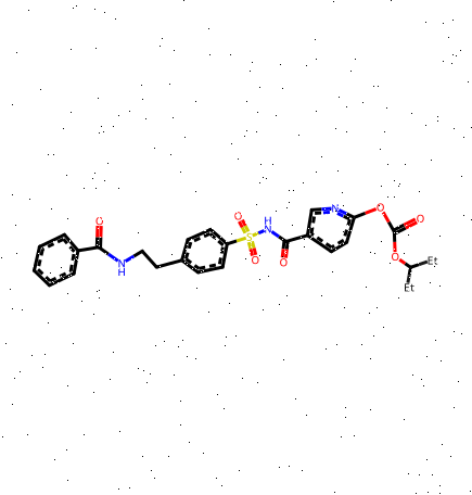 CCC(CC)OC(=O)Oc1ccc(C(=O)NS(=O)(=O)c2ccc(CCNC(=O)c3ccccc3)cc2)cn1